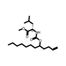 C=CCCC(CCCCCCC)OC(=O)N[C@@H](CC(C)C)C(=O)OC